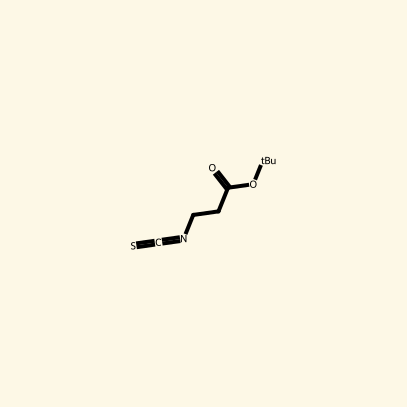 CC(C)(C)OC(=O)CCN=C=S